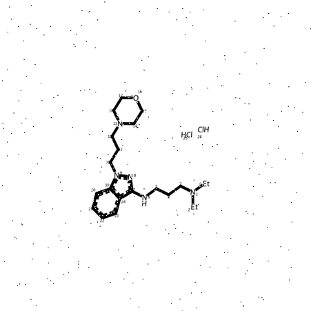 CCN(CC)CCCNc1nn(CCCN2CCOCC2)c2ccccc12.Cl.Cl